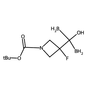 BC(B)(O)C1(F)CN(C(=O)OC(C)(C)C)C1